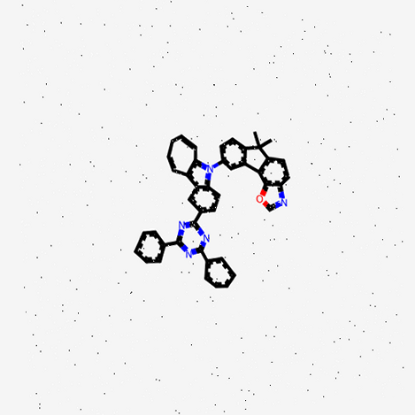 CC1(C)c2ccc(-n3c4c(c5cc(-c6nc(-c7ccccc7)nc(-c7ccccc7)n6)ccc53)C=CCC=C4)cc2-c2c1ccc1ncoc21